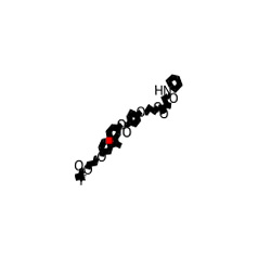 C=C(F)C(=O)OCCCOc1ccc2c(c1)C(C)C1CC(OC(=O)c3ccc(OCCCOC(=O)C(=C)CC(=O)NC4CCCCC4)cc3)=CC=C21